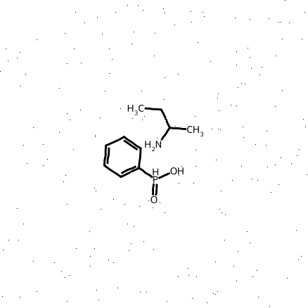 CCC(C)N.O=[PH](O)c1ccccc1